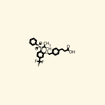 CC(C)N(c1ccc(C(F)(F)F)cc1OCc1ccc(CCC(=O)O)cc1)S(=O)(=O)c1ccccc1